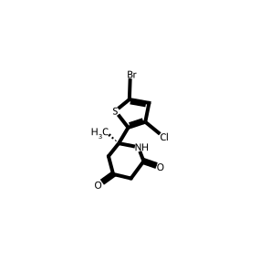 C[C@@]1(c2sc(Br)cc2Cl)CC(=O)CC(=O)N1